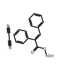 CCCCCCCCOC(=O)C(=Cc1ccccc1)c1ccccc1.N#CC#N